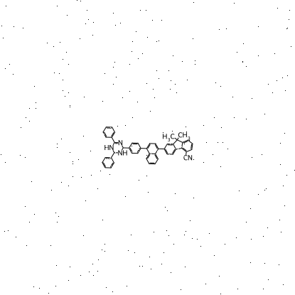 CC1(C)c2cc(-c3ccc(-c4ccc(C5N=C(c6ccccc6)NC(c6ccccc6)N5)cc4)c4ccccc34)ccc2-c2c(C#N)cccc21